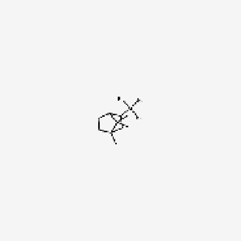 CC[Si](CC)(CC)C1CC2(C)CCC1C2(C)C